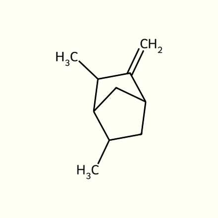 C=C1C2CC(C)C(C2)C1C